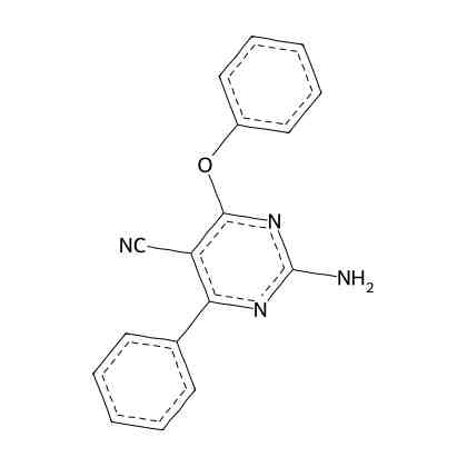 N#Cc1c(Oc2ccccc2)nc(N)nc1-c1ccccc1